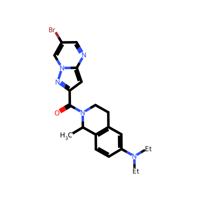 CCN(CC)c1ccc2c(c1)CCN(C(=O)c1cc3ncc(Br)cn3n1)C2C